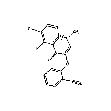 CN(C)/C=C(/Oc1ccccc1C#N)C(=O)c1cccc(Cl)c1F